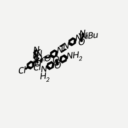 CCC(C)n1ncn(-c2ccc(N3CCN(c4ccc(OC[C@H]5CO[C@](Cn6cncn6)(c6ccc(Cl)cc6Cl)O5)cc4)CC3)cc2)c1=O.Nc1ccc(S(=O)(=O)c2ccc(N)cc2)cc1